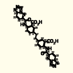 O=C(Nc1ccc(CCc2ccc(NC(=O)c3ccc4nnnn4n3)c(C(=O)O)c2)cc1C(=O)O)c1ccc2nnnn2n1